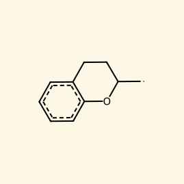 [CH2]C1CCc2ccccc2O1